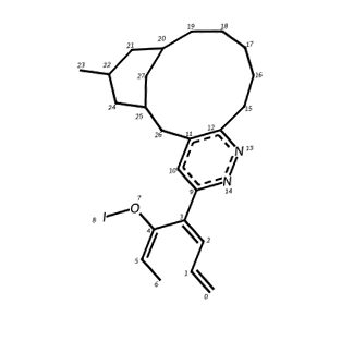 C=C/C=C(\C(=C/C)OI)c1cc2c(nn1)CCCCCC1CC(C)CC(C2)C1